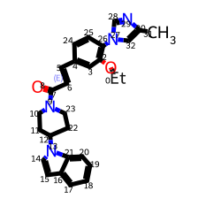 CCOc1cc(/C=C/C(=O)N2CCC(n3ccc4ccccc43)CC2)ccc1-n1cnc(C)c1